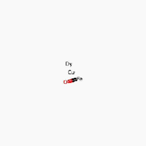 [Cu].[Dy].[O]=[Fe]